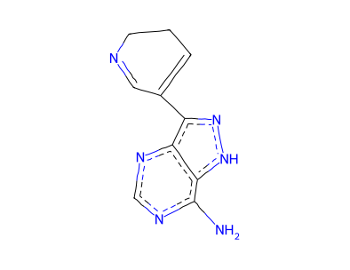 Nc1ncnc2c(C3=CCCN=C3)n[nH]c12